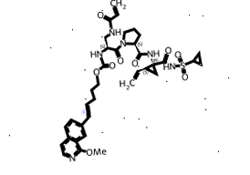 C=CC(=O)NC[C@H](NC(=O)OCCC/C=C/c1ccc2ccnc(OC)c2c1)C(=O)N1CCC[C@H]1C(=O)N[C@]1(C(=O)NS(=O)(=O)C2CC2)C[C@H]1C=C